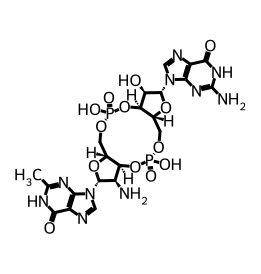 Cc1nc2c(ncn2[C@@H]2O[C@@H]3COP(=O)(O)O[C@H]4[C@@H](O)[C@H](n5cnc6c(=O)[nH]c(N)nc65)O[C@@H]4COP(=O)(O)O[C@H]3[C@H]2N)c(=O)[nH]1